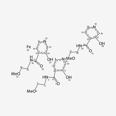 COCCNC(=O)c1ccncc1O.COCCNC(=O)c1ccncc1O.COCCNC(=O)c1ccncc1O.[Fe]